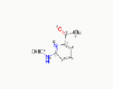 CC(C)(C)C(=O)c1cccc(NC=O)n1